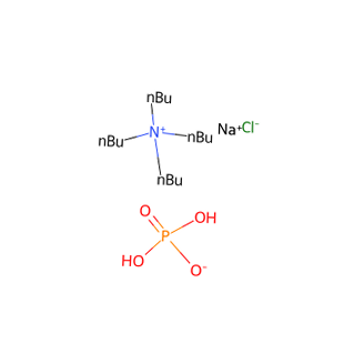 CCCC[N+](CCCC)(CCCC)CCCC.O=P([O-])(O)O.[Cl-].[Na+]